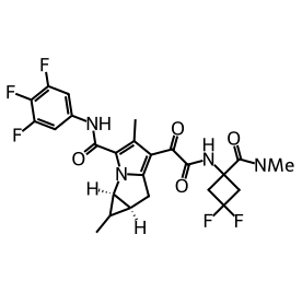 CNC(=O)C1(NC(=O)C(=O)c2c(C)c(C(=O)Nc3cc(F)c(F)c(F)c3)n3c2C[C@H]2C(C)[C@H]23)CC(F)(F)C1